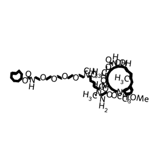 COc1cc2cc(c1Cl)N(C)C(=O)C[C@H](OC(=O)[C@H](N)N(C)C(=O)CCCC(=O)N(C)CCOCCOCCOCCOCCNC(=O)OC1CC/C=C/CCC1)[C@]1(N)O[C@H]1[C@H](C)[C@@H]1C[C@@](O)(NC(=O)O1)[C@H](O)/C=C/C=C(\C)C2